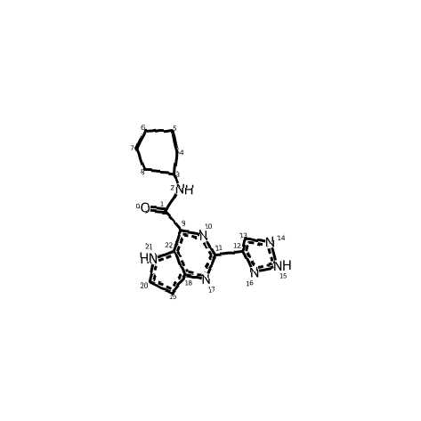 O=C(NC1CCCCC1)c1nc(-c2cn[nH]n2)nc2cc[nH]c12